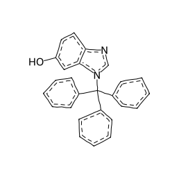 Oc1ccc2ncn(C(c3ccccc3)(c3ccccc3)c3ccccc3)c2c1